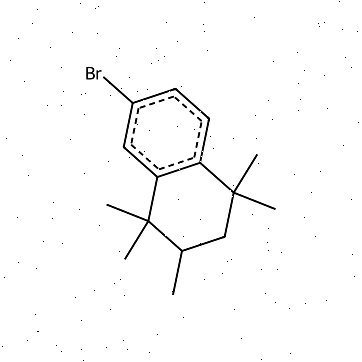 CC1CC(C)(C)c2ccc(Br)cc2C1(C)C